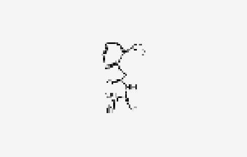 CC(C)NC(=N)NC(=O)Cc1ccccc1C(F)(F)F